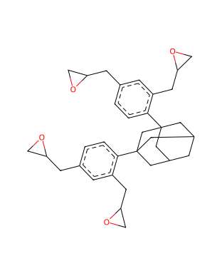 c1cc(C23CC4CC(C2)CC(c2ccc(CC5CO5)cc2CC2CO2)(C4)C3)c(CC2CO2)cc1CC1CO1